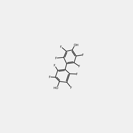 Oc1c(F)c(F)c(-c2c(F)c(F)c(O)c(F)c2F)c(F)c1F